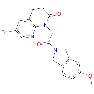 COc1ccc2c(c1)CN(C(=O)CN1C(=O)CCc3cc(Br)cnc31)C2